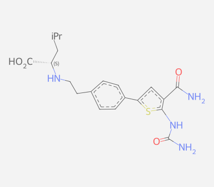 CC(C)C[C@H](NCCc1ccc(-c2cc(C(N)=O)c(NC(N)=O)s2)cc1)C(=O)O